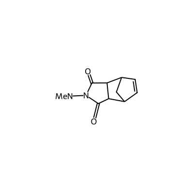 CNN1C(=O)C2C3C=CC(C3)C2C1=O